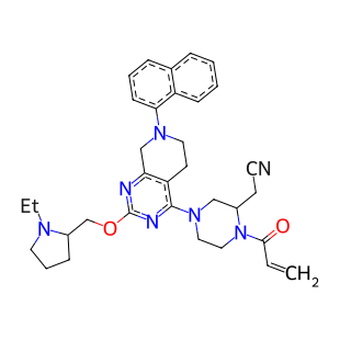 C=CC(=O)N1CCN(c2nc(OCC3CCCN3CC)nc3c2CCN(c2cccc4ccccc24)C3)CC1CC#N